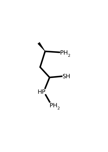 C[C@@H](P)CC(S)PP